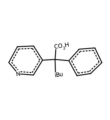 CCC(C)C(C(=O)O)(c1ccccc1)c1cccnc1